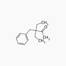 CCC(CC)(Cc1ccccc1)C(C)=O